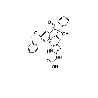 O=C(O)Nc1nc2cc(C3(O)c4ccccc4C(=O)N3c3cccc(OCc4ccccc4)c3)ccc2[nH]1